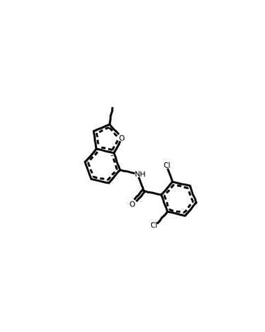 Cc1cc2cccc(NC(=O)c3c(Cl)cccc3Cl)c2o1